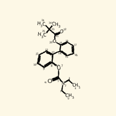 CCN(CC)C(=O)Oc1ccccc1-c1ccccc1OC(=O)C(C)(C)C